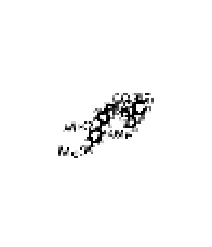 COCc1cc(OC)c(-c2ccc(C[C@H](NC(=O)C3(c4ccc(Cl)cc4)CCCO3)C(=O)O)cc2)c(OC)c1